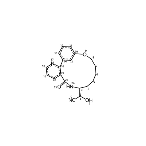 N#CC(O)[C@@H]1CCCCCOc2cccc(c2)-c2ncccc2C(=O)N1